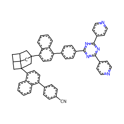 N#Cc1ccc(-c2ccc(C34CC5CC6CC(c7ccc(-c8ccc(-c9nc(-c%10ccncc%10)nc(-c%10ccncc%10)n9)cc8)c8ccccc78)(C3)CC654)c3ccccc23)cc1